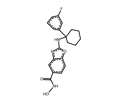 O=C(NO)c1ccc2oc(NC3(c4cccc(F)c4)CCCCC3)nc2c1